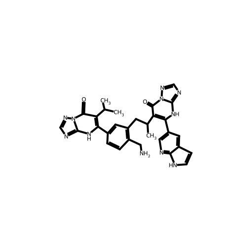 CC(C)c1c(-c2ccc(CN)c(CC(C)c3c(-c4cnc5[nH]ccc5c4)[nH]c4ncnn4c3=O)c2)[nH]c2ncnn2c1=O